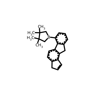 CC1(C)CB(c2cccc3c2-c2ccc4c(c2C3)C=CC4)CC1(C)C